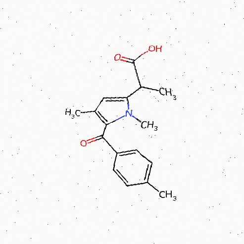 Cc1ccc(C(=O)c2c(C)cc(C(C)C(=O)O)n2C)cc1